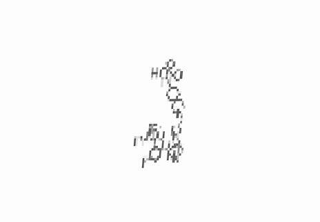 CC(C)N(C(=O)c1cc(F)ccc1Oc1nncnc1N1CC[C@@H](CN2CCC3(CCC(NC(=O)C4(O)CCC4)CC3)CC2)C1)C(C)C